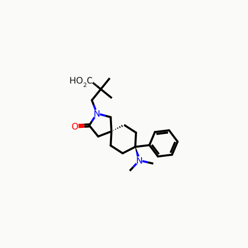 CN(C)[C@]1(c2ccccc2)CC[C@]2(CC1)CC(=O)N(CC(C)(C)C(=O)O)C2